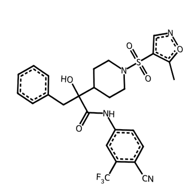 Cc1oncc1S(=O)(=O)N1CCC(C(O)(Cc2ccccc2)C(=O)Nc2ccc(C#N)c(C(F)(F)F)c2)CC1